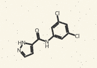 O=C(Nc1cc(Cl)cc(Cl)c1)c1ccn[nH]1